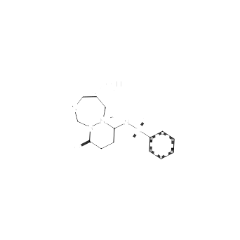 O=C(O)[C@H]1CNCN2C(=O)CCC(NS(=O)(=O)c3ccccc3)[N+]2([O-])C1